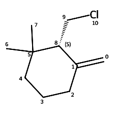 C=C1CCCC(C)(C)[C@@H]1CCl